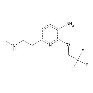 CNCCc1ccc(N)c(OCC(F)(F)F)n1